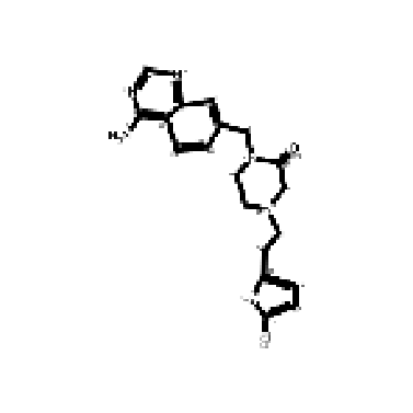 Nc1ncnc2cc(CN3CCN(CCc4ccc(Cl)s4)CC3=O)ccc12